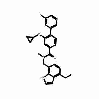 CN(Cc1cnc(CF)c2cn[nH]c12)C(=O)c1ccc(-c2cccc(F)c2)c(OC2CC2)c1